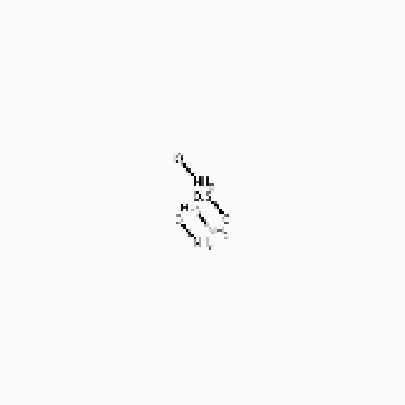 NO.NO.NO.O=S(=O)(O)O